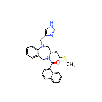 CSCC[C@@H]1CN(Cc2c[nH]cn2)c2ccccc2CN1C(=O)c1cccc2ccccc12